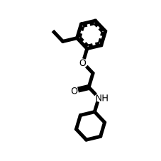 CCc1ccccc1OCC(=O)NC1CCCCC1